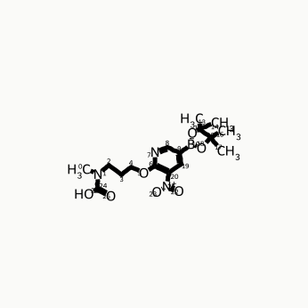 CN(CCCOc1ncc(B2OC(C)(C)C(C)(C)O2)cc1[N+](=O)[O-])C(=O)O